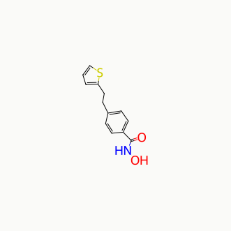 O=C(NO)c1ccc(CCc2cccs2)cc1